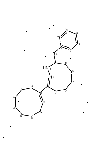 C1=C(/C2=N\NC(Nc3ccccc3)CCCCC2)CCCCCCC/1